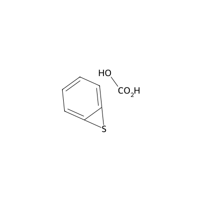 O=C(O)O.c1ccc2c(c1)S2